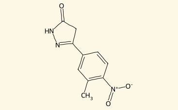 Cc1cc(C2=NNC(=O)C2)ccc1[N+](=O)[O-]